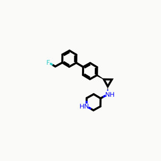 FCc1cccc(-c2ccc([C@H]3C[C@@H]3NC3CCNCC3)cc2)c1